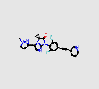 Cn1ccc(-c2cnc3n2C2(CC2)C(=O)N3c2c(F)cc(C#Cc3cccnc3)cc2F)n1